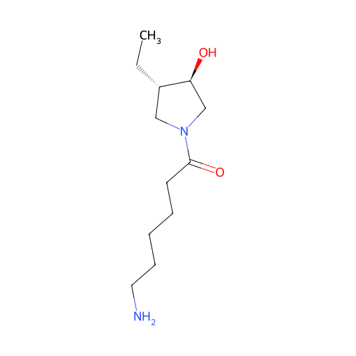 CC[C@H]1CN(C(=O)CCCCCN)C[C@@H]1O